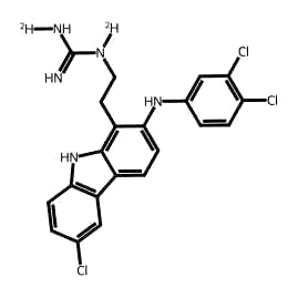 [2H]NC(=N)N([2H])CCc1c(Nc2ccc(Cl)c(Cl)c2)ccc2c1[nH]c1ccc(Cl)cc12